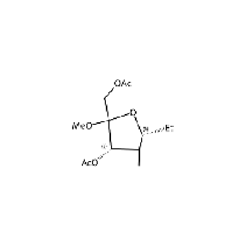 CC[C@H]1OC(COC(C)=O)(OC)[C@@H](OC(C)=O)C1C